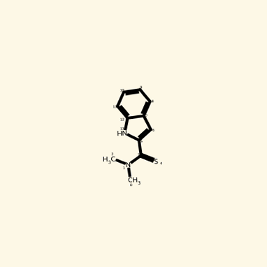 CN(C)C(=S)c1cc2ccccc2[nH]1